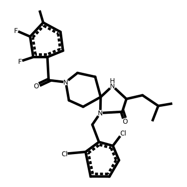 Cc1ccc(C(=O)N2CCC3(CC2)NC(CC(C)C)C(=O)N3Cc2c(Cl)cccc2Cl)c(F)c1F